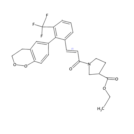 CCOC(=O)C1CCN(C(=O)/C=C/c2cc[c]c(C(F)(F)F)c2-c2ccc3c(c2)CCOO3)C1